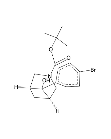 CC(C)(C)OC(=O)N1C[C@H]2C[C@@H](C1)C2(O)c1ccc(Br)cc1